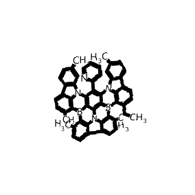 CCc1ccc2c3ccc(C)cc3n3c2c1B1c2c-3c(-c3ccccn3)c3c4c2-n2c5c(c(C)ccc5c5ccc(C)c1c52)B4c1c(C)ccc2c4ccc(C)cc4n-3c12